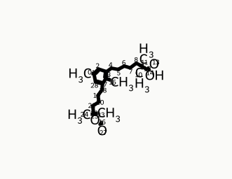 Cc1cc(CCCCCC(C)(C)C(=O)O)c(C)c(CCCCC(C)(C)OC=O)c1